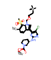 CC(C)(C)OC(=O)N1CCC[C@H](Nc2ncc(Cl)c(-c3cn(COCC[Si](C)(C)C)c4c(S(C)(=O)=O)c(C#N)ccc34)n2)C1